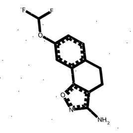 Nc1noc2c1CCc1ccc(OC(F)F)cc1-2